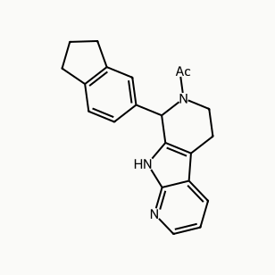 CC(=O)N1CCc2c([nH]c3ncccc23)C1c1ccc2c(c1)CCC2